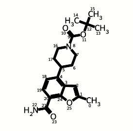 Cc1cc2c(C3CCN(C(=O)OC(C)(C)C)CC3)ccc(C(N)=O)c2o1